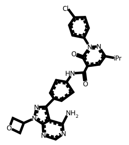 CC(C)c1cc(C(=O)Nc2ccc(-c3nn(C4COC4)c4ncnc(N)c34)cc2)c(=O)n(-c2ccc(Cl)cc2)n1